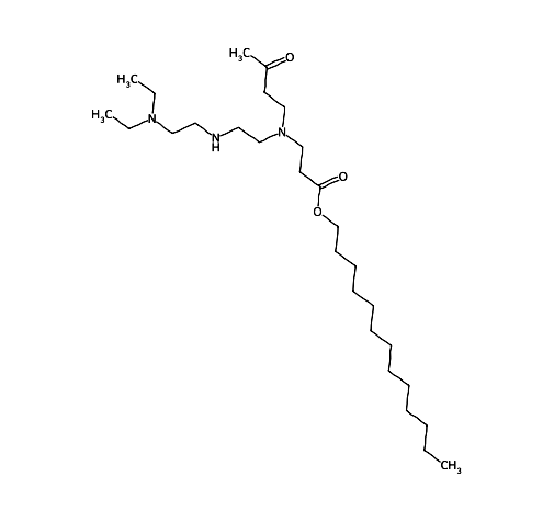 CCCCCCCCCCCCCOC(=O)CCN(CCNCCN(CC)CC)CCC(C)=O